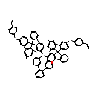 C=Cc1ccc(Oc2ccc(C3(c4c(F)cc(F)cc4F)C4=C(C=CCC4)c4ccc(N(c5cccc(-c6ccccc6-c6ccccc6)c5)c5ccc6c(c5)C(c5ccc(Oc7ccc(C=C)cc7)cc5)(c5c(F)cc(F)cc5F)c5ccccc5-6)cc43)cc2)cc1